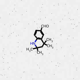 CC1(C)CC(C)(C)c2cc(C=O)ccc2N1